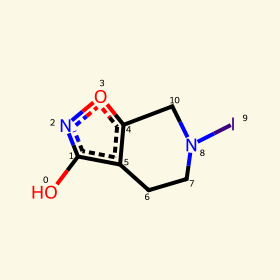 Oc1noc2c1CCN(I)C2